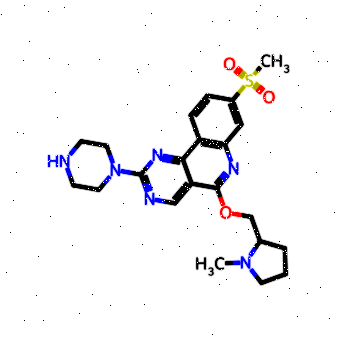 CN1CCCC1COc1nc2cc(S(C)(=O)=O)ccc2c2nc(N3CCNCC3)ncc12